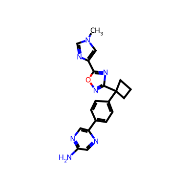 Cn1cnc(-c2nc(C3(c4ccc(-c5cnc(N)cn5)cc4)CCC3)no2)c1